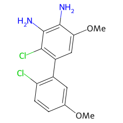 COc1ccc(Cl)c(-c2cc(OC)c(N)c(N)c2Cl)c1